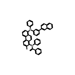 C=C(c1ccccc1)N(c1ccccc1)c1c(C)ccc2c1ccc1c(N(c3ccccc3)c3cccc(-c4ccc5ccccc5c4)c3)cccc12